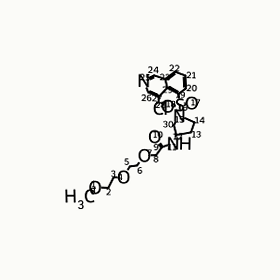 COCCOCCOCC(=O)NC1CCN(S(=O)(=O)c2cccc3cncc(Cl)c23)C1